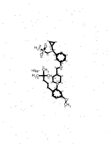 COc1ccc(CCCC(C)(C)C)c(N2CCC(COc3cccc([C@@H](CP(C)(=O)[O-])C4CC4)c3)CC2)c1.[Na+]